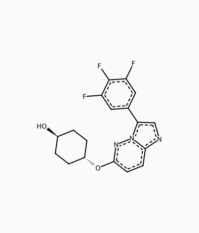 O[C@H]1CC[C@H](Oc2ccc3ncc(-c4cc(F)c(F)c(F)c4)n3n2)CC1